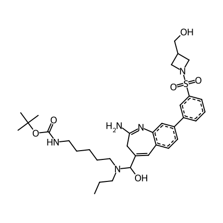 CCCN(CCCCCNC(=O)OC(C)(C)C)C(O)C1=Cc2ccc(-c3cccc(S(=O)(=O)N4CC(CO)C4)c3)cc2N=C(N)C1